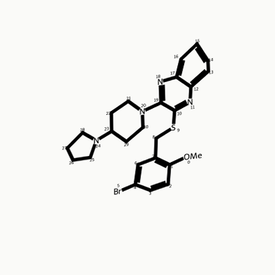 COc1ccc(Br)cc1CSc1nc2ccccc2nc1N1CCC(N2CCCC2)CC1